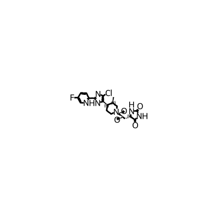 C[C@H]1CN(S(=O)(=O)C[C@@H]2NC(=O)NC2=O)CC[C@H]1c1[nH]c(-c2ccc(F)cn2)nc1Cl